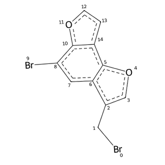 BrCc1coc2c1cc(Br)c1occc12